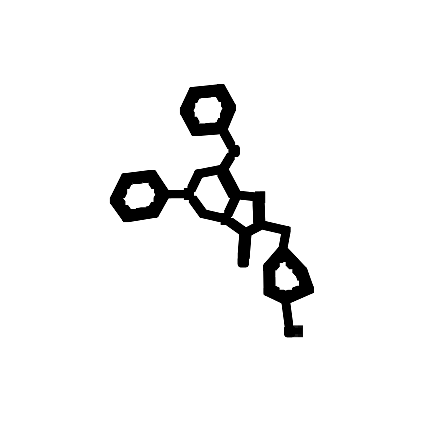 O=C1C(Cc2ccc(O)cc2)=NC2=C(Oc3ccccc3)CN(c3ccccc3)CN12